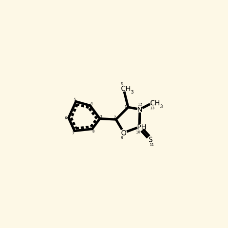 CC1C(c2ccccc2)O[PH](=S)N1C